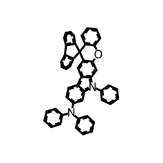 c1ccc(N(c2ccccc2)c2ccc3c4cc5c(cc4n(-c4ccccc4)c3c2)Oc2ccccc2C52c3ccccc3-c3ccccc32)cc1